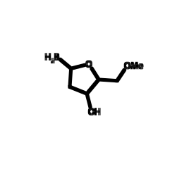 BC1CC(O)C(COC)O1